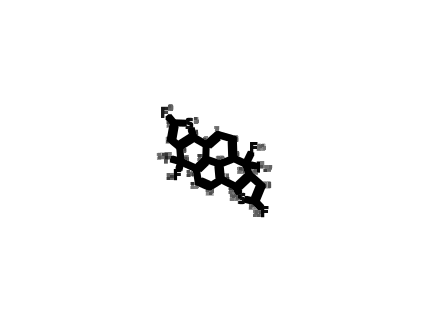 Fc1cc2c(s1)-c1ccc3c4c(ccc(c14)C2(F)F)-c1sc(F)cc1C3(F)F